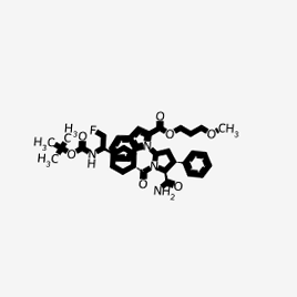 COCCCOC(=O)c1cc2ccccc2n1C1C[C@H](c2ccccc2)[C@@H](C(N)=O)N1C(=O)[C@H]1CC[C@H](C(CF)NC(=O)OC(C)(C)C)CC1